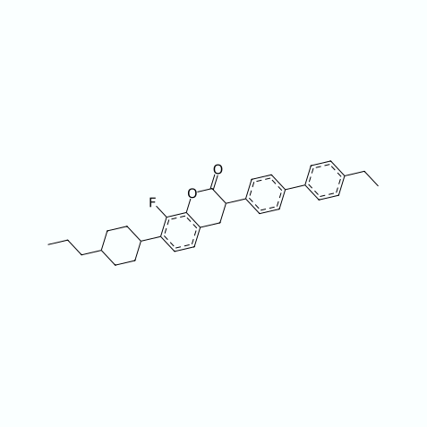 CCCC1CCC(c2ccc3c(c2F)OC(=O)C(c2ccc(-c4ccc(CC)cc4)cc2)C3)CC1